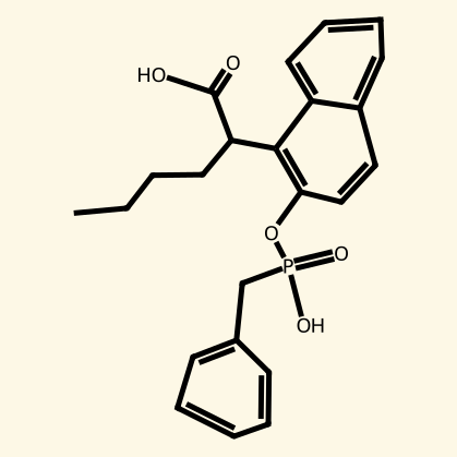 CCCCC(C(=O)O)c1c(OP(=O)(O)Cc2ccccc2)ccc2ccccc12